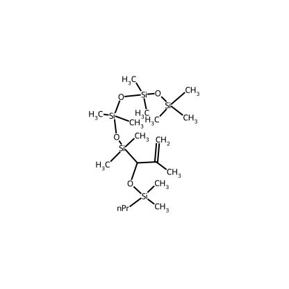 C=C(C)C(O[Si](C)(C)CCC)[Si](C)(C)O[Si](C)(C)O[Si](C)(C)O[Si](C)(C)C